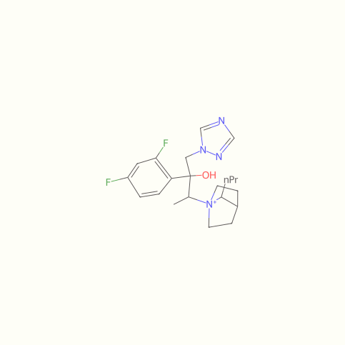 CCCC1C2CC[N+]1(C(C)C(O)(Cn1cncn1)c1ccc(F)cc1F)CC2